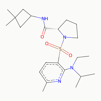 CCN(c1nc(C)ccc1S(=O)(=O)N1CCC[C@H]1C(=O)NC1CC(C)(C)C1)C(C)C